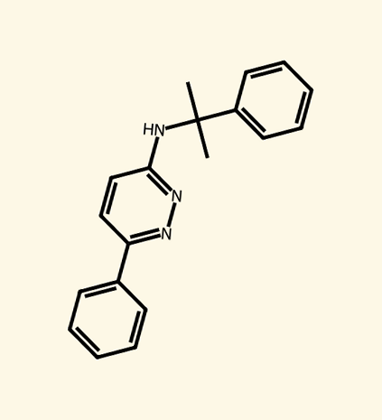 CC(C)(Nc1ccc(-c2ccccc2)nn1)c1ccccc1